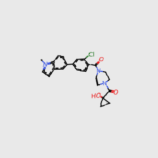 Cn1ccc2cc(-c3ccc(C(=O)N4CCN(C(=O)C5(O)CC5)CC4)c(Cl)c3)ccc21